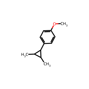 COc1ccc(C2C(C)C2C)cc1